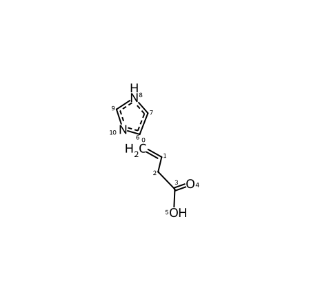 C=CCC(=O)O.c1c[nH]cn1